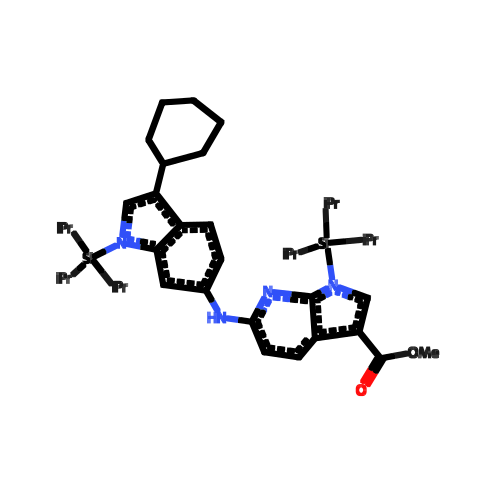 COC(=O)c1cn([Si](C(C)C)(C(C)C)C(C)C)c2nc(Nc3ccc4c(C5CCCCC5)cn([Si](C(C)C)(C(C)C)C(C)C)c4c3)ccc12